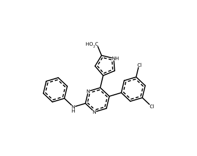 O=C(O)c1cc(-c2nc(Nc3ccccc3)ncc2-c2cc(Cl)cc(Cl)c2)c[nH]1